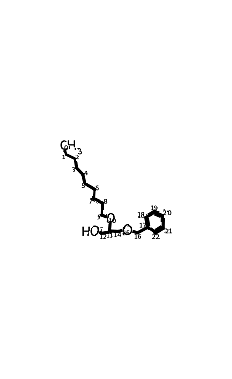 CCCCCCCCCCOC(CO)COCc1ccccc1